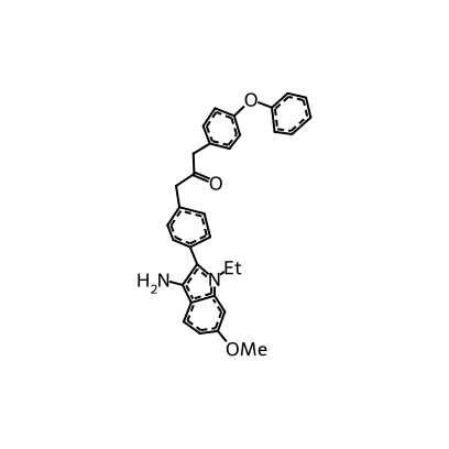 CCn1c(-c2ccc(CC(=O)Cc3ccc(Oc4ccccc4)cc3)cc2)c(N)c2ccc(OC)cc21